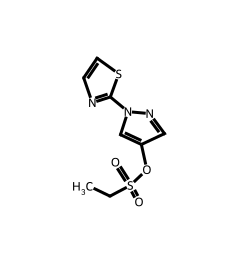 CCS(=O)(=O)Oc1cnn(-c2nccs2)c1